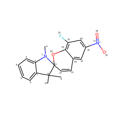 CN1c2ccccc2C(C)(C)C12C=Cc1cc([N+](=O)[O-])cc(F)c1O2